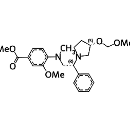 COCO[C@H]1CCN([C@@H](CN(C)c2ccc(C(=O)OC)cc2OC)c2ccccc2)C1